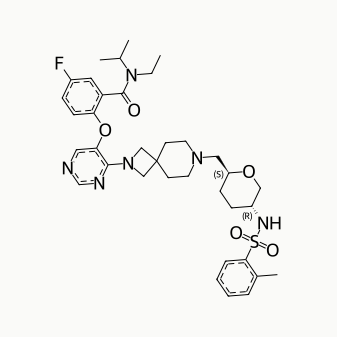 CCN(C(=O)c1cc(F)ccc1Oc1cncnc1N1CC2(CCN(C[C@@H]3CC[C@@H](NS(=O)(=O)c4ccccc4C)CO3)CC2)C1)C(C)C